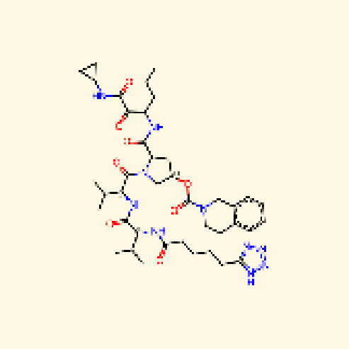 CCCC(NC(=O)C1C[C@@H](OC(=O)N2CCc3ccccc3C2)CN1C(=O)[C@@H](NC(=O)[C@H](NC(=O)CCCCc1nnn[nH]1)C(C)C)C(C)C)C(=O)C(=O)NC1CC1